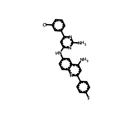 Nc1nc(Nc2ccc3nc(-c4ccc(F)cc4)cc(N)c3c2)cc(-c2cccc(Cl)c2)n1